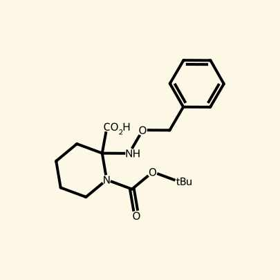 CC(C)(C)OC(=O)N1CCCCC1(NOCc1ccccc1)C(=O)O